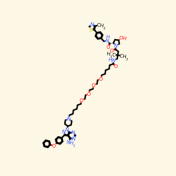 Cc1ncsc1-c1ccc(CNC(=O)[C@@H]2C[C@@H](O)CN2C(=O)CC(C)(C)CNC(=O)CCCCCOCCOCCOCCOCCCCCCN2CCC(n3nc(-c4ccc(Oc5ccccc5)cc4)c4c(N)ncnc43)CC2)cc1